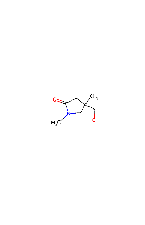 CN1CC(C)(CO)CC1=O